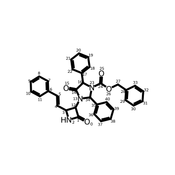 O=C1NC(C=Cc2ccccc2)C1N1C(=O)C(c2ccccc2)N(C(=O)OCc2ccccc2)C1c1ccccc1